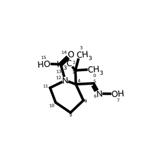 CC(C)(C)C1(C=NO)CCCCN1C(=O)O